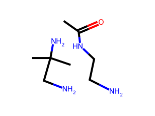 CC(=O)NCCN.CC(C)(N)CN